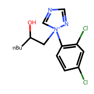 CCCCC(O)C[N+]1(c2ccc(Cl)cc2Cl)C=NC=N1